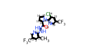 Cc1cc(C(F)(F)F)cnc1NNC(=O)c1cccn1-c1ncc(C(F)(F)F)cc1Cl